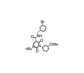 CCCCn1cc(C(=O)NCc2cccc(Br)c2)c(=O)n(-c2cccc(OC)c2)c1=O